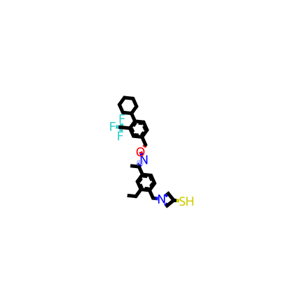 CCc1cc(/C(C)=N/OCc2ccc(C3CCCCC3)c(C(F)(F)F)c2)ccc1CN1CC(S)C1